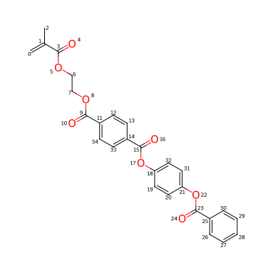 C=C(C)C(=O)OCCOC(=O)c1ccc(C(=O)Oc2ccc(OC(=O)c3ccccc3)cc2)cc1